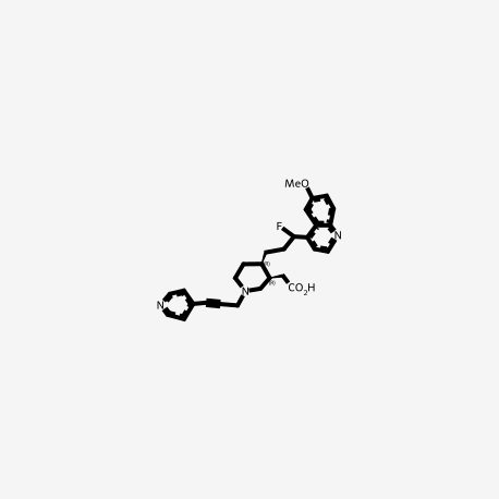 COc1ccc2nccc(C(F)CC[C@@H]3CCN(CC#Cc4ccncc4)C[C@@H]3CC(=O)O)c2c1